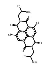 CCCCC(CC)CN1C(=O)c2cc(Cl)c3c4c(c(Cl)cc(c24)C1=O)C(=O)N(CC(CC)CCCC)C3=O